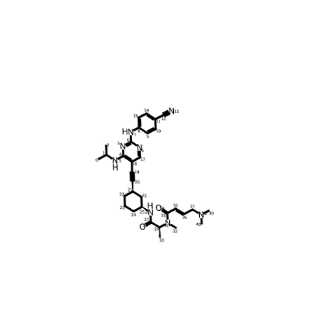 CC(C)Nc1nc(Nc2ccc(C#N)cc2)ncc1C#C[C@@H]1CCC[C@H](NC(=O)[C@H](C)N(C)C(=O)/C=C/CN(C)C)C1